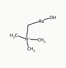 C[N+](C)(C)[CH2][Ra][OH]